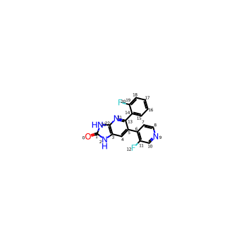 O=c1[nH]c2cc(-c3ccncc3F)c(-c3ccccc3F)nc2[nH]1